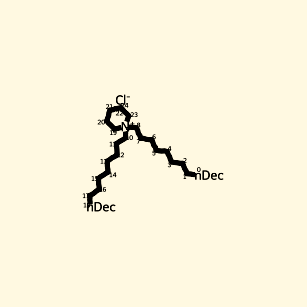 CCCCCCCCCCCCCCCCCC[N+]1(CCCCCCCCCCCCCCCCCC)CCCCC1.[Cl-]